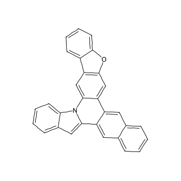 c1ccc2cc3c(cc2c1)c1cc2oc4ccccc4c2cc1n1c2ccccc2cc31